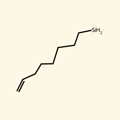 C=CCCCCCC[SiH2]